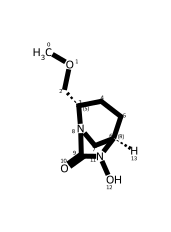 COC[C@@H]1CC[C@@H]2CN1C(=O)N2O